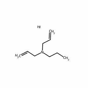 C=CCN(CC=C)CCC.I